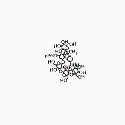 C=C(C)[C@@H]1CCC(C)=C[C@H]1c1c(O[C@H]2O[C@@H](CO)[C@H](O)[C@@H](O)[C@@H]2O)cc(CCCCC)cc1O[C@@H]1O[C@H](CO)[C@@H](O)[C@H](O[C@@H]2O[C@H](CO)[C@@H](O)[C@H](O[C@@H]3O[C@H](CO)[C@@H](O)[C@H](O)[C@H]3O)[C@H]2O)[C@H]1O